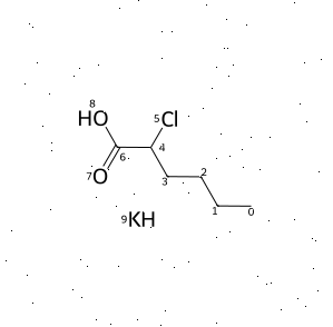 CCCCC(Cl)C(=O)O.[KH]